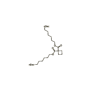 CCCCCCCCCCCCCCCCOC(=O)C1(C(=O)OCCCCCCCCCCCCCCCC)CCC1